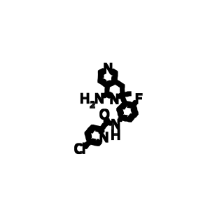 CC1(c2cc(NC(=O)c3ccc(Cl)cn3)ccc2F)Cc2cnccc2C(N)=N1